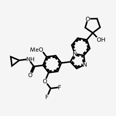 COc1cc(-c2cnc3cc(C4(O)CCOC4)ccn23)cc(OC(F)F)c1C(=O)NC1CC1